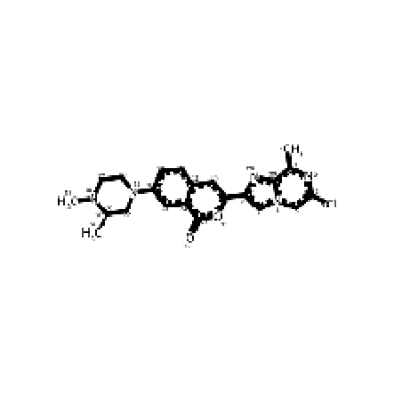 Cc1nc(Cl)cn2cc(-c3cc4ccc(N5CCN(C)[C@H](C)C5)cc4c(=O)o3)nc12